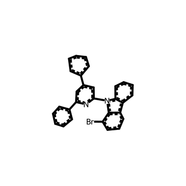 Brc1cccc2c3ccccc3n(-c3cc(-c4ccccc4)cc(-c4ccccc4)n3)c12